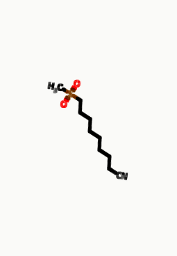 CS(=O)(=O)CCCCCCCCC#N